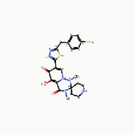 CCN1C(=O)c2c(O)c(=O)c(-c3nnc(Cc4ccc(F)cc4)s3)cn2N(C)C12CCNCC2